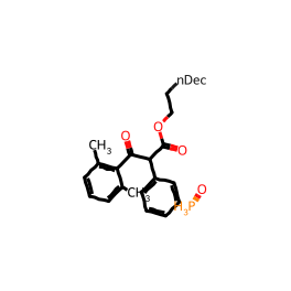 CCCCCCCCCCCCOC(=O)C(C(=O)c1c(C)cccc1C)c1ccccc1.O=[PH3]